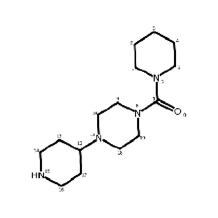 O=C(N1CC[CH]CC1)N1CCN(C2CCNCC2)CC1